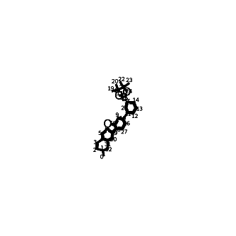 CC1C=Cc2cc3oc4cc(-c5cccc(B6OC(C)(C)C(C)(C)O6)c5)ccc4c3cc2C1